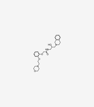 O=C(COc1ccccc1OCCN1CCOCC1)NC[C@@H](O)CN1CCc2ccccc2C1